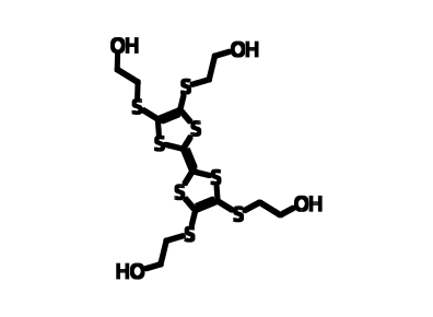 OCCSC1=C(SCCO)SC(=C2SC(SCCO)=C(SCCO)S2)S1